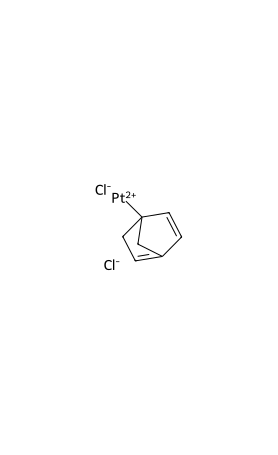 [Cl-].[Cl-].[Pt+2][C]12C=CC(=CC1)C2